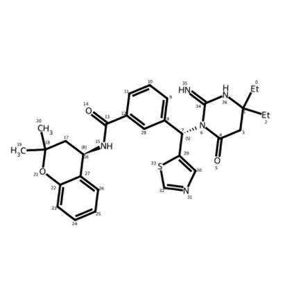 CCC1(CC)CC(=O)N([C@@H](c2cccc(C(=O)N[C@@H]3CC(C)(C)Oc4ccccc43)c2)c2cncs2)C(=N)N1